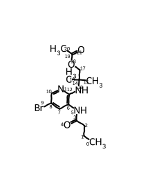 CCCC(=O)Nc1cc(Br)cnc1NC(C)(C)COC(C)=O